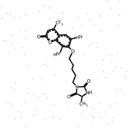 CCCc1cc2c(C(F)(F)F)cc(=O)oc2c(CCC)c1OCCCCCN1C(=O)NC(C)C1=O